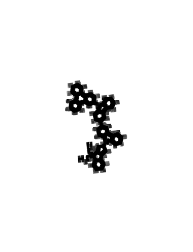 CC1(C)C2=CC(n3c4ccccc4c4cc(-c5ccc6c(c5)c5ccccc5n6-c5ccc6c7ccccc7c7ccccc7c6c5)ccc43)C=C2c2ccccc21